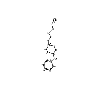 N#CCCCCCN1CCC(Cc2ccccc2)CC1